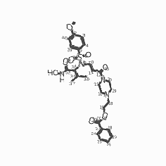 COc1ccc(S(=O)(=O)N(CCC(=O)N2CCN(CCOC(=O)c3ccccc3)CC2)C(C(=O)NO)C(C)C)cc1